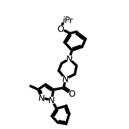 Cc1cc(C(=O)N2CCN(c3cccc(OC(C)C)c3)CC2)n(-c2ccccc2)n1